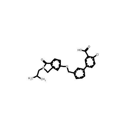 CC(C)CN1Cc2cc(OCc3cccc(-c4ccc(Cl)c(C(=O)O)c4)c3)ccc2C1=O